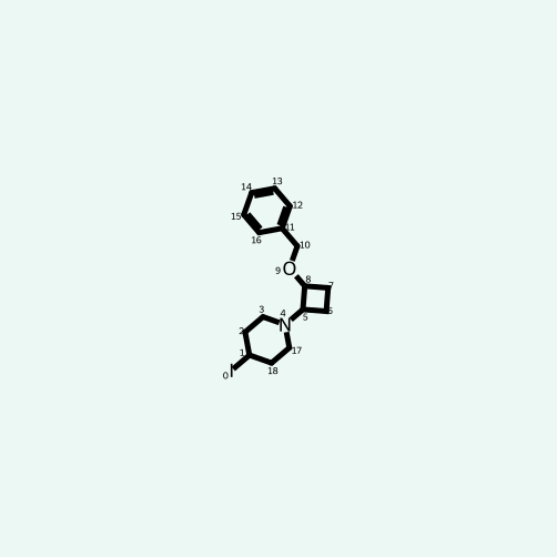 IC1CCN(C2CCC2OCc2ccccc2)CC1